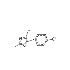 [CH2]c1nc(C)oc1-c1ccc(Cl)cc1